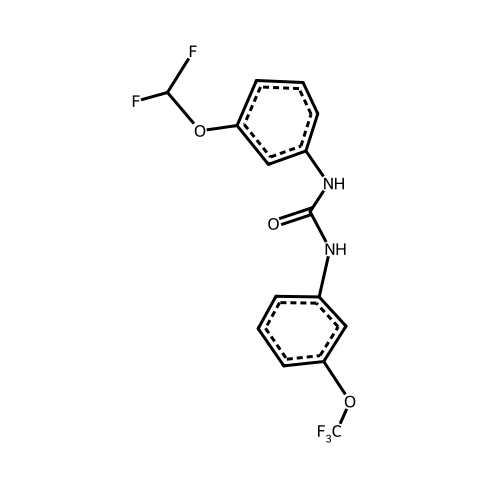 O=C(Nc1cccc(OC(F)F)c1)Nc1cccc(OC(F)(F)F)c1